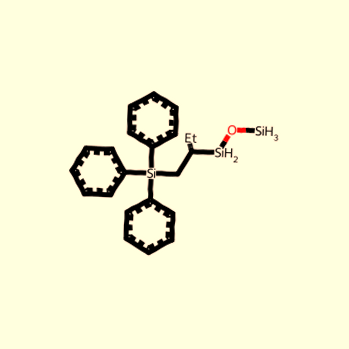 CCC(C[Si](c1ccccc1)(c1ccccc1)c1ccccc1)[SiH2]O[SiH3]